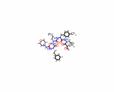 CC(C)CC[C@H](NC(=O)[C@H](CCc1ccccc1)NC(=O)CN1CCOCC1)C(=O)N[C@@H](Cc1ccc(C(F)(F)F)cc1)C(=O)N[C@@H](CC(C)C)C(=O)[C@@]1(C)CO1